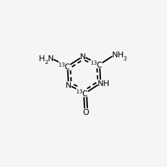 N[13c]1n[13c](N)[nH][13c](=O)n1